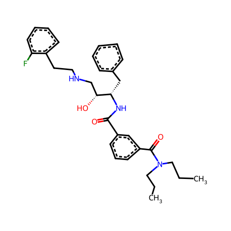 CCCN(CCC)C(=O)c1cccc(C(=O)N[C@@H](Cc2ccccc2)[C@H](O)CNCCc2ccccc2F)c1